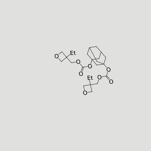 CCC1(COC(=O)OC23CC4CC(C2)CC(OC(=O)OCC2(CC)COC2)(C4)C3)COC1